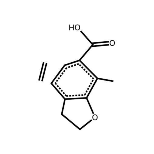 C=C.Cc1c(C(=O)O)ccc2c1OCC2